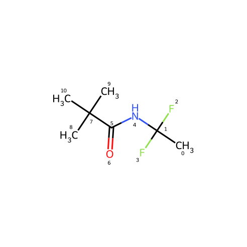 CC(F)(F)NC(=O)C(C)(C)C